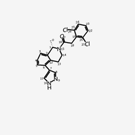 C[C@H]1c2cccc(-c3cn[nH]c3)c2CCN1C(=O)Cc1c(Cl)cccc1Cl